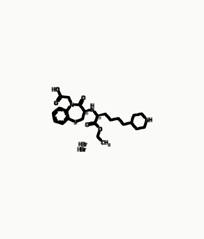 Br.Br.CCOC(=O)[C@H](CCCCC1CCNCC1)N[C@H]1CSc2ccccc2N(CC(=O)O)C1=O